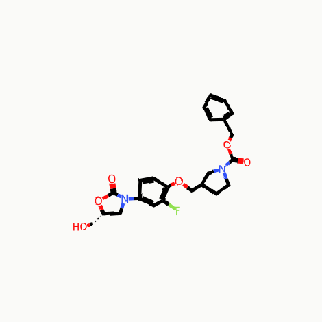 O=C(OCc1ccccc1)N1CCC(COc2ccc(N3C[C@H](CO)OC3=O)cc2F)C1